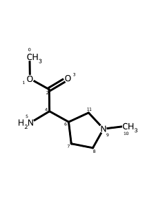 COC(=O)C(N)C1CCN(C)C1